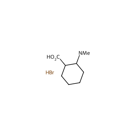 Br.CNC1CCCCC1C(=O)O